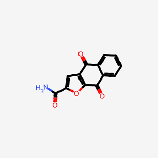 NC(=O)c1cc2c(o1)C(=O)c1ccccc1C2=O